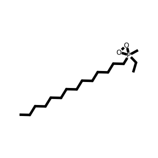 CCCCCCCCCCCCCCP1(C)(CC)OO1